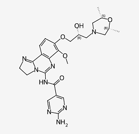 COc1c(OC[C@H](O)CN2C[C@@H](C)O[C@@H](C)C2)ccc2c1N=C(NC(=O)c1cnc(N)nc1)N1CCN=C21